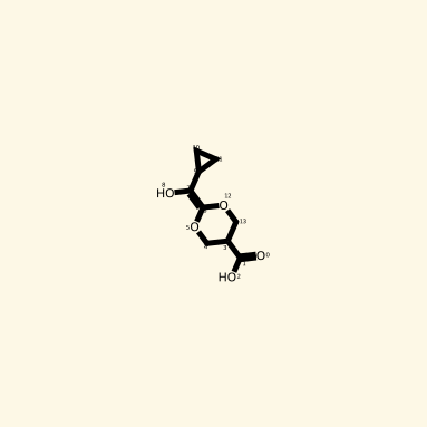 O=C(O)C1COC(=C(O)C2CC2)OC1